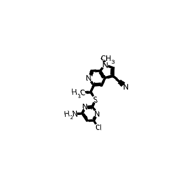 CC(Sc1nc(N)cc(Cl)n1)c1cc2c(C#N)cn(C)c2cn1